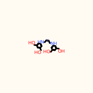 OCc1cc(CO)cc(NC/C=C\CNc2cc(CO)cc(CO)c2)c1